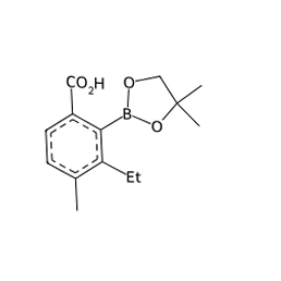 CCc1c(C)ccc(C(=O)O)c1B1OCC(C)(C)O1